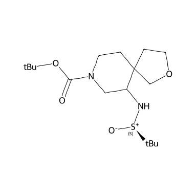 CC(C)(C)OC(=O)N1CCC2(CCOC2)C(N[S@+]([O-])C(C)(C)C)C1